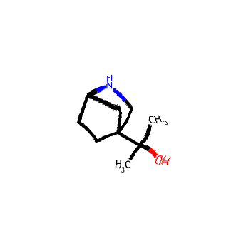 CC(C)(O)C12CCC(C1)NC2